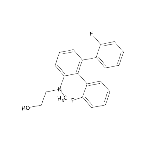 CN(CCO)c1cccc(-c2ccccc2F)c1-c1ccccc1F